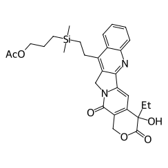 CCC1(O)C(=O)OCc2c1cc1n(c2=O)Cc2c-1nc1ccccc1c2CC[Si](C)(C)CCCOC(C)=O